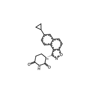 O=C1CC[C@H](c2noc3ccc4cc(C5CC5)ccc4c23)C(=O)N1